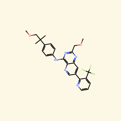 COCc1nc(Nc2ccc(C(C)(C)COC)cc2)c2ncc(-c3ncccc3C(F)(F)F)cc2n1